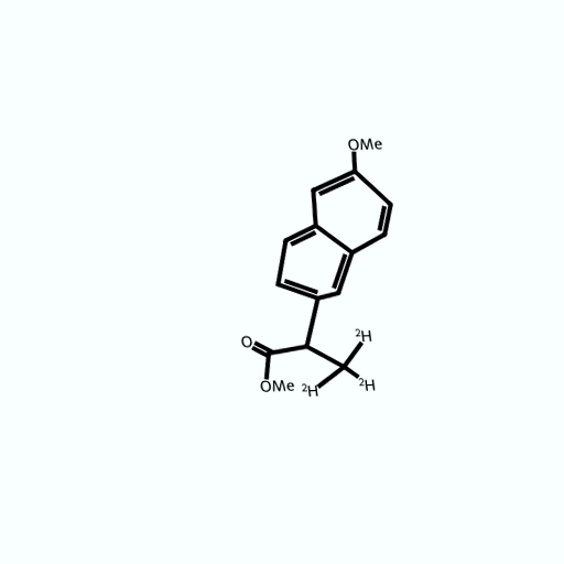 [2H]C([2H])([2H])C(C(=O)OC)c1ccc2cc(OC)ccc2c1